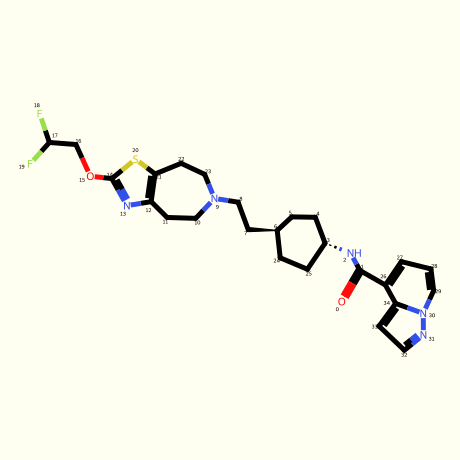 O=C(N[C@H]1CC[C@H](CCN2CCc3nc(OCC(F)F)sc3CC2)CC1)c1cccn2nccc12